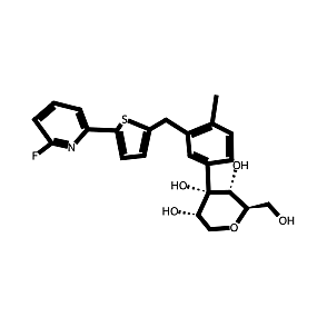 Cc1ccc([C@@]2(O)[C@H](O)[C@@H](CO)OC[C@@H]2O)cc1Cc1ccc(-c2cccc(F)n2)s1